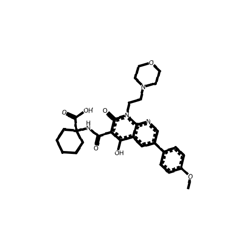 COc1ccc(-c2cnc3c(c2)c(O)c(C(=O)NC2(C(=O)O)CCCCC2)c(=O)n3CCN2CCOCC2)cc1